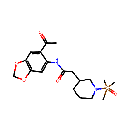 CC(=O)c1cc2c(cc1NC(=O)CC1CCCN(S(C)(C)(C)=O)C1)OCO2